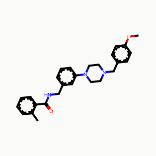 COc1ccc(CN2CCN(c3cccc(CNC(=O)c4ccccc4C)c3)CC2)cc1